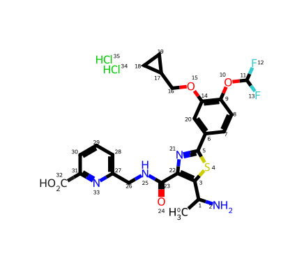 CC(N)c1sc(-c2ccc(OC(F)F)c(OCC3CC3)c2)nc1C(=O)NCc1cccc(C(=O)O)n1.Cl.Cl